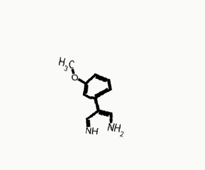 COc1cccc(/C(C=N)=C/N)c1